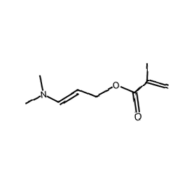 C=C(C)C(=O)OCC=CN(C)C